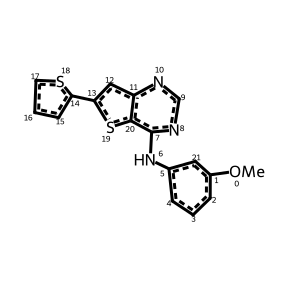 COc1cccc(Nc2ncnc3cc(-c4cccs4)sc23)c1